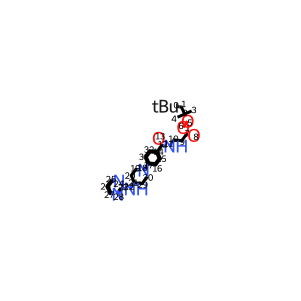 CC(C)(C)CC(C)(C)OOC(=O)CCNC(=O)c1ccc(N2CCC(Nc3ncccn3)CC2)cc1